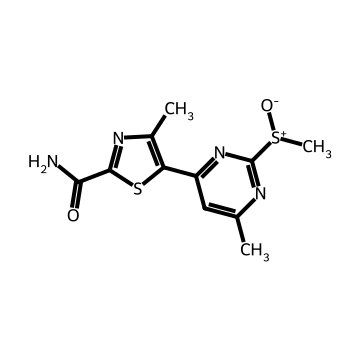 Cc1cc(-c2sc(C(N)=O)nc2C)nc([S+](C)[O-])n1